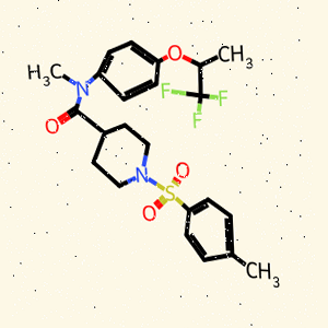 Cc1ccc(S(=O)(=O)N2CCC(C(=O)N(C)c3ccc(OC(C)C(F)(F)F)cc3)CC2)cc1